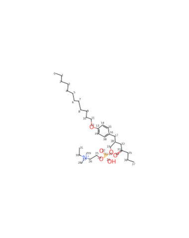 CCCCCCCCCCCCOc1ccc(CC(COP(=O)(O)OCC[N+](C)(C)CC)CC(=O)CCC)cc1